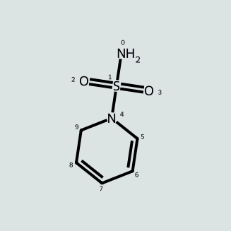 NS(=O)(=O)N1C=CC=CC1